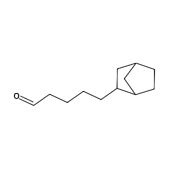 O=CCCCCC1CC2CCC1C2